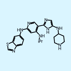 CC(C)Nc1cc(Nc2ccc3ncsc3c2)ncc1-c1ncc(NC2CCNCC2)[nH]1